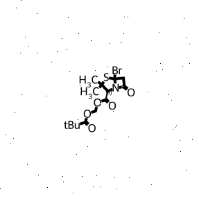 CC(C)(C)C(=O)OCOC(=O)[C@@H]1N2C(=O)CC2(Br)SC1(C)C